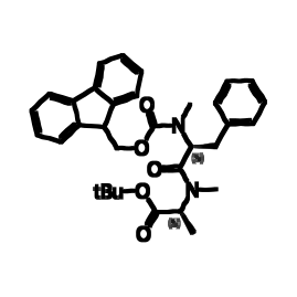 C[C@@H](C(=O)OC(C)(C)C)N(C)C(=O)[C@H](Cc1ccccc1)N(C)C(=O)OCC1c2ccccc2-c2ccccc21